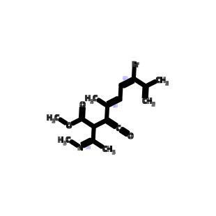 C=C(C)/C(Br)=C\C=C(/C)C(=C=O)C(C(=O)OC)/C(C)=N\C